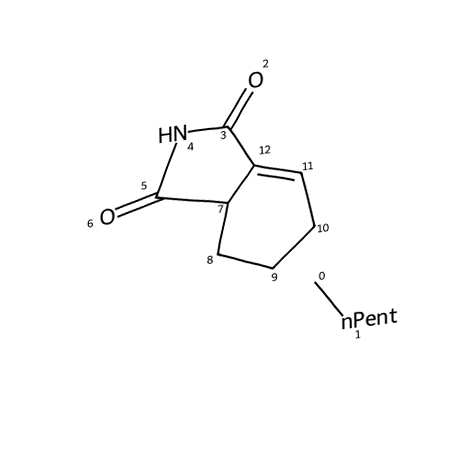 CCCCCC.O=C1NC(=O)C2CCCC=C12